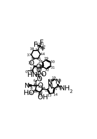 C[C@H](N[P@](=O)(OC[C@@]1(C#N)O[C@@H](c2ccc3c(N)ncnn23)[C@H](O)[C@@H]1O)Oc1ccccc1)C(=O)O[C@H]1CC[C@@H](C(F)(F)F)CC1